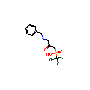 O=C(CNCc1ccccc1)CP(=O)(O)C(Cl)(Cl)Cl